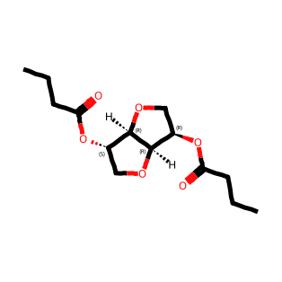 CCCC(=O)O[C@H]1CO[C@H]2[C@@H]1OC[C@H]2OC(=O)CCC